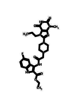 CCCn1c(N2CCN(CC(=O)Nc3c(C(=O)OCC)[nH]c4ccc(F)cc34)CC2)nc2c1c(=O)[nH]c(=O)n2C